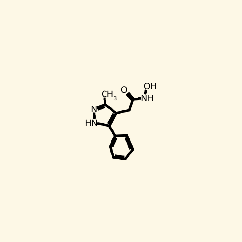 Cc1n[nH]c(-c2ccccc2)c1CC(=O)NO